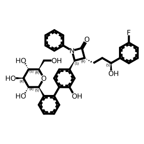 O=C1[C@H](CC[C@H](O)c2cccc(F)c2)[C@@H](c2ccc(-c3ccccc3[C@@H]3O[C@H](CO)[C@@H](O)[C@H](O)[C@H]3O)c(O)c2)N1c1ccccc1